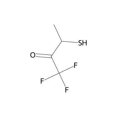 CC(S)C(=O)C(F)(F)F